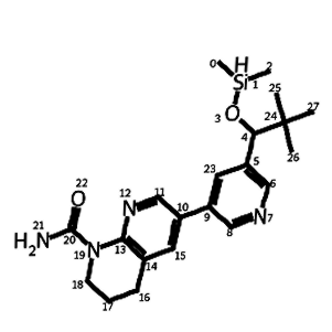 C[SiH](C)OC(c1cncc(-c2cnc3c(c2)CCCN3C(N)=O)c1)C(C)(C)C